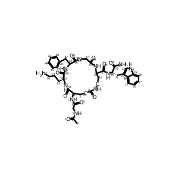 CC(=O)NCC(=O)NC1CCC(=O)NCCC(C(=O)N[C@@H](Cc2c[nH]c3ccccc23)C(N)=O)NC(=O)CNC(=O)C(Cc2ccccc2)NC(=O)[C@H](CCCN)NC1=O